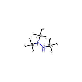 C[Si](C)(C)NN([Si](C)(C)C)[Si](C)(C)C